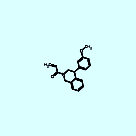 C=CC(=O)N1Cc2ccccc2[C@H](c2cccc(OC)c2)C1